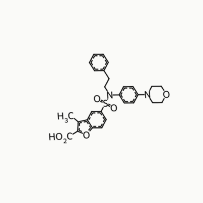 Cc1c(C(=O)O)oc2ccc(S(=O)(=O)N(CCc3ccccc3)c3ccc(N4CCOCC4)cc3)cc12